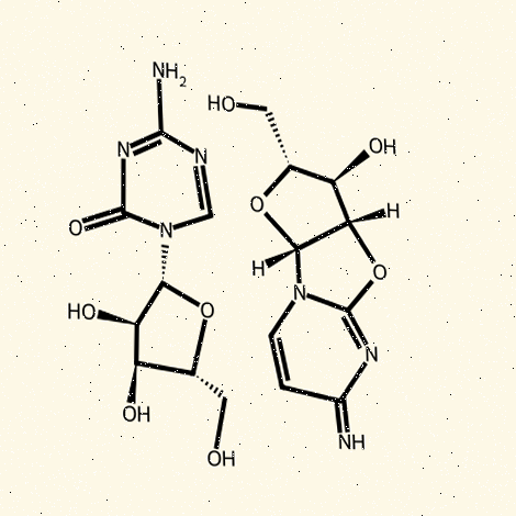 N=c1ccn2c(n1)O[C@H]1[C@H](O)[C@@H](CO)O[C@H]12.Nc1ncn([C@@H]2O[C@H](CO)[C@@H](O)[C@H]2O)c(=O)n1